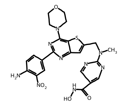 CN(Cc1cc2nc(-c3ccc(N)c([N+](=O)[O-])c3)nc(N3CCOCC3)c2s1)c1ncc(C(=O)NO)cn1